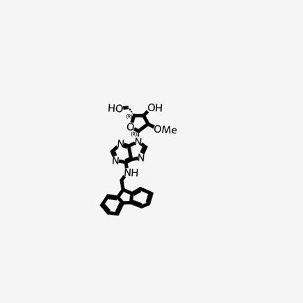 COC1C(O)[C@@H](CO)O[C@H]1n1cnc2c(NCC3c4ccccc4-c4ccccc43)ncnc21